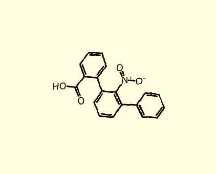 O=C(O)c1ccccc1-c1cccc(-c2ccccc2)c1[N+](=O)[O-]